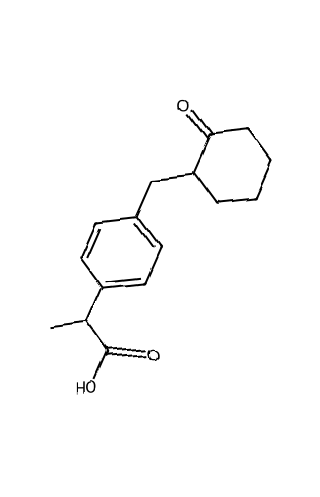 CC(C(=O)O)c1ccc(CC2CCCCC2=O)cc1